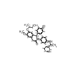 CC[C@@H](C)Oc1cc2c(cc1OC)CC(=O)N(c1ccc(NC(C)C3CCCNC3)cc1)C2c1ccc(Cl)cc1